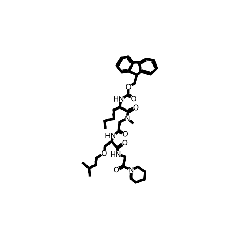 CCCCC(NC(=O)OCC1c2ccccc2-c2ccccc21)C(=O)N(C)CC(=O)NC(COCCC(C)C)C(=O)NCC(=O)N1CCCCC1